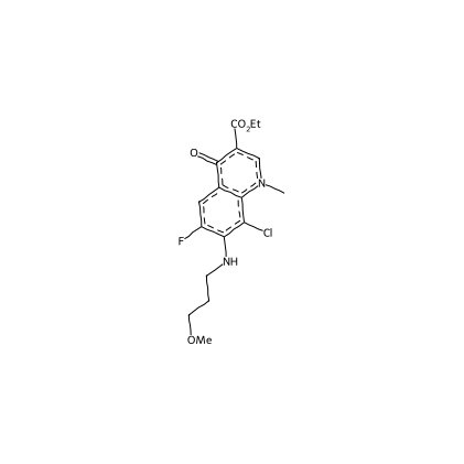 CCOC(=O)c1cn(C)c2c(Cl)c(NCCCOC)c(F)cc2c1=O